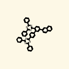 C1=CC(c2nc(-c3ccccc3)nc(-c3ccc(-c4cc(-c5ccc6ccccc6c5)ccc4-c4nc(-c5ccccc5)nc(-c5ccccc5)n4)cc3)n2)=CCC1